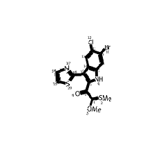 COC(SC)C(=O)c1[nH]c2cc(Br)c(Cl)cc2c1-c1nccs1